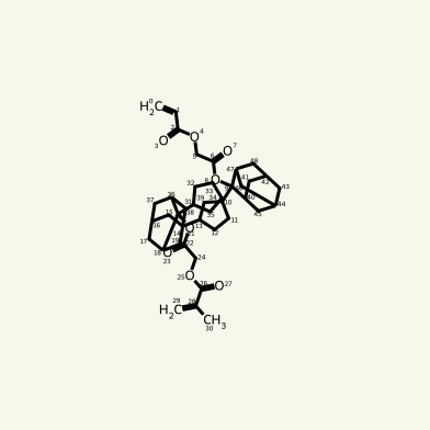 C=CC(=O)OCC(=O)OC1(C2CCC(C34CC5CC(C3)C(OC(=O)COC(=O)C(=C)C)(C3CCCC3)C(C5)C4)C2)C2CC3CC(C2)CC1C3